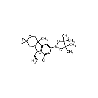 C=CC(=O)N1CC2(CC2)OCC1(C)c1cc(Cl)cc(B2OC(C)(C)C(C)(C)O2)c1